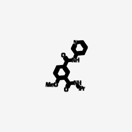 COc1ccc(C(=O)Nc2cccnc2)cc1C(=O)NC(C)C